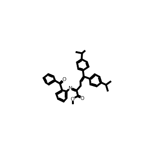 COC(=O)C(CC=C(c1ccc(C(C)C)cc1)c1ccc(C(C)C)cc1)=Nc1ccccc1C(=O)c1ccccc1